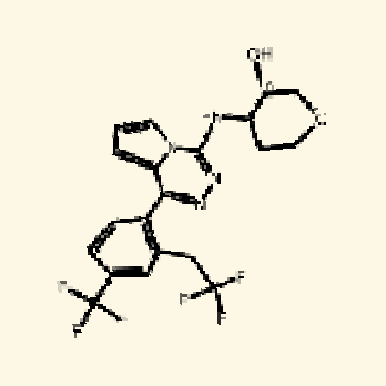 O[C@H]1COCCC1Nc1nnc(-c2ccc(C(F)(F)F)cc2CC(F)(F)F)c2cccn12